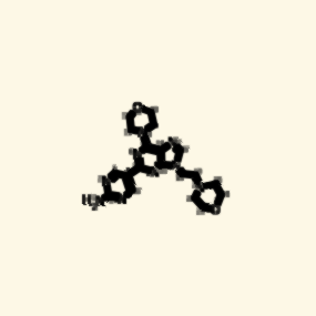 Nc1ncc(-c2nc(N3CCOCC3)c3ncn(CCN4CCOCC4)c3n2)cn1